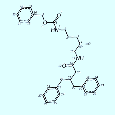 C[C@@H](CCCNC(=O)OCc1ccccc1)CNC(=O)CC(Cc1ccccc1)Cc1ccccc1